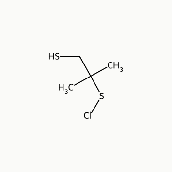 CC(C)(CS)SCl